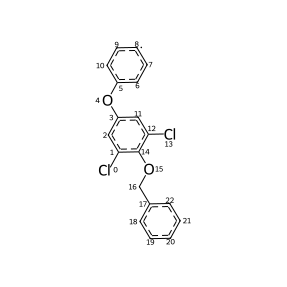 Clc1cc(Oc2cc[c]cc2)cc(Cl)c1OCc1ccccc1